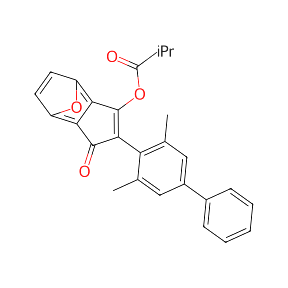 Cc1cc(-c2ccccc2)cc(C)c1C1=C(OC(=O)C(C)C)c2c(c3ccc2o3)C1=O